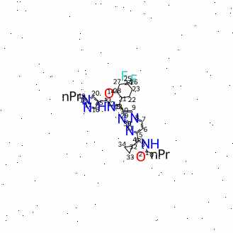 CCCC(=O)N[C@@H](c1ccn2cc([C@@H](NC(=O)c3cnn(CCC)c3)C3CCC(F)(F)CC3)nc2n1)C1CC1